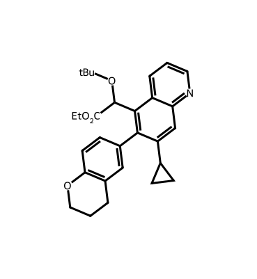 CCOC(=O)C(OC(C)(C)C)c1c(-c2ccc3c(c2)CCCO3)c(C2CC2)cc2ncccc12